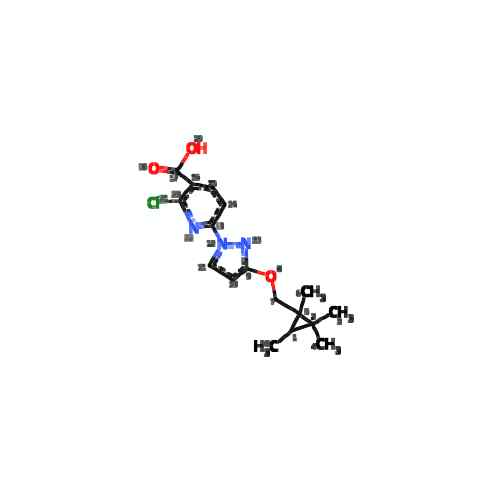 CC1C(C)(C)C1(C)COc1ccn(-c2ccc(C(=O)O)c(Cl)n2)n1